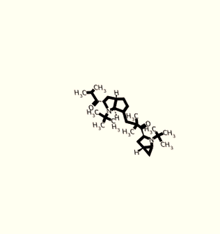 CC(C)C(=O)[C@@H]1C[C@H]2CCC(CC(C)(C)C(=O)[C@@H]3C[C@H]4CC4N3C(C)(C)C)[C@H]2N1C(C)(C)C